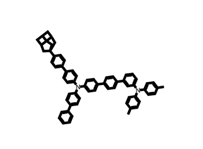 Cc1ccc(N(c2ccc(C)cc2)c2cccc(-c3ccc(-c4ccc(N(c5ccc(-c6ccccc6)cc5)c5ccc(-c6ccc(C78CC9CC%10CC(C7)C%109C8)cc6)cc5)cc4)cc3)c2)cc1